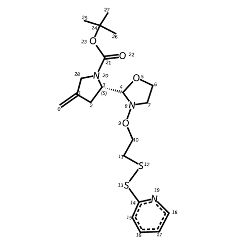 C=C1C[C@@H](C2OCCN2OCCSSc2ccccn2)N(C(=O)OC(C)(C)C)C1